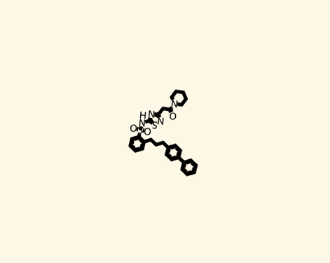 O=C(Cc1nsc(NS(=O)(=O)c2ccccc2CCCc2ccc(-c3ccccc3)cc2)n1)N1CCCCC1